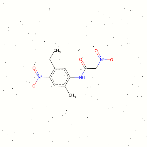 CCc1cc(NC(=O)C[N+](=O)[O-])c(C)cc1[N+](=O)[O-]